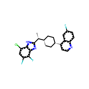 C[C@@H](c1nc2c(F)c(F)cc(Cl)c2[nH]1)[C@H]1CC[C@@H](c2ccnc3ccc(F)cc32)CC1